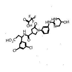 O=C(O)C(F)(F)F.O=C(O)CC(NC(=O)C1CC(=O)N(c2cccc(NC3=NCC(O)CN3)c2)C1)c1cc(Cl)cc(Cl)c1